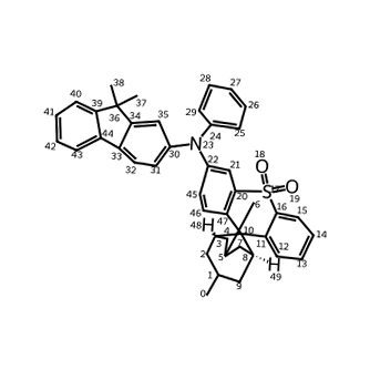 CC1C[C@H]2CC(C)C[C@H](C1)C21c2ccccc2S(=O)(=O)c2cc(N(c3ccccc3)c3ccc4c(c3)C(C)(C)c3ccccc3-4)ccc21